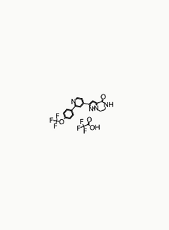 O=C(O)C(F)(F)F.O=C1NCCn2nc(-c3ccnc(-c4ccc(OC(F)(F)F)cc4)c3)cc21